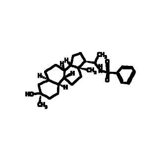 CC(NS(=O)(=O)c1ccccc1)[C@H]1CC[C@H]2[C@@H]3CC[C@@H]4C[C@](C)(O)CC[C@@H]4[C@H]3CC[C@]12C